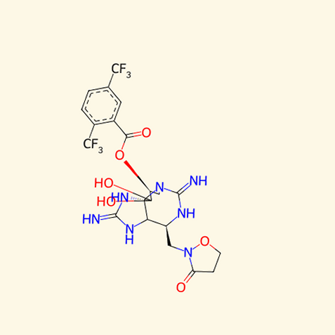 N=C1NC2[C@H](CN3OCCC3=O)NC(=N)N3C[C@H](OC(=O)c4cc(C(F)(F)F)ccc4C(F)(F)F)C(O)(O)[C@@]23N1